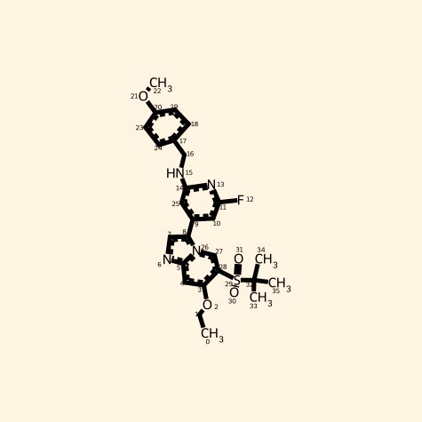 CCOc1cc2ncc(-c3cc(F)nc(NCc4ccc(OC)cc4)c3)n2cc1S(=O)(=O)C(C)(C)C